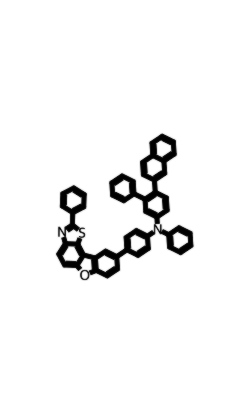 c1ccc(-c2nc3ccc4oc5ccc(-c6ccc(N(c7ccccc7)c7ccc(-c8ccc9ccccc9c8)c(-c8ccccc8)c7)cc6)cc5c4c3s2)cc1